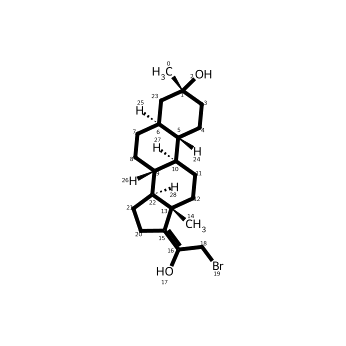 C[C@@]1(O)CC[C@H]2[C@@H](CC[C@@H]3[C@@H]2CC[C@]2(C)/C(=C(/O)CBr)CC[C@@H]32)C1